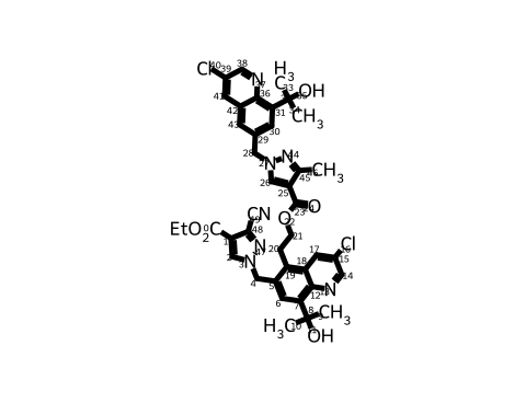 CCOC(=O)c1cn(Cc2cc(C(C)(C)O)c3ncc(Cl)cc3c2CCOC(=O)c2cn(Cc3cc(C(C)(C)O)c4ncc(Cl)cc4c3)nc2C)nc1C#N